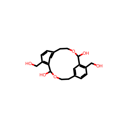 OCc1ccc2cc1C(O)OCCc1ccc(CO)c(c1)C(O)OCC2